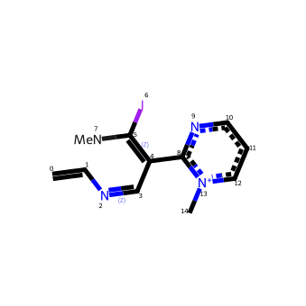 C=C/N=C\C(=C(\I)NC)c1nccc[n+]1C